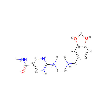 CNC(=O)c1cnc(N2CCN(Cc3ccc4c(c3)OCO4)CC2)nc1